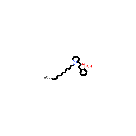 CCCCCCCC/C=C\CCCCCCCCN1CC=CC=C1CCc1ccccc1B(O)O